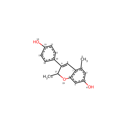 Cc1cc(O)cc2c1C=C(c1ccc(O)cc1)C(C)O2